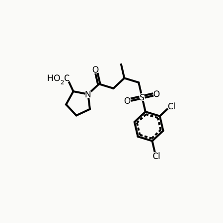 CC(CC(=O)N1CCCC1C(=O)O)CS(=O)(=O)c1ccc(Cl)cc1Cl